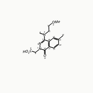 COCCN(C)c1nn(CC(=O)O)c(=O)c2ccc(C)cc12